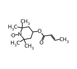 CC=CC(=O)OC1CC(C)(C)N([O])C(C)(C)C1